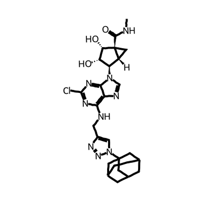 CNC(=O)[C@@]12C[C@@H]1[C@@H](n1cnc3c(NCc4cn(C56CC7CC(CC(C7)C5)C6)nn4)nc(Cl)nc31)[C@H](O)[C@@H]2O